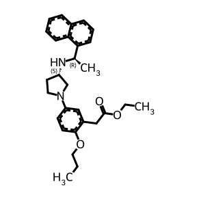 CCCOc1ccc(N2CC[C@H](N[C@H](C)c3cccc4ccccc34)C2)cc1CC(=O)OCC